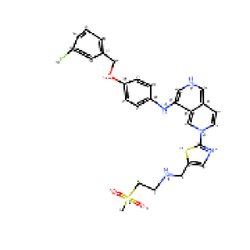 CS(=O)(=O)CCNCc1cnc(N2C=CC3=CNC=C(Nc4ccc(OCc5cccc(F)c5)cc4)C3=C2)s1